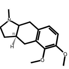 COc1ccc2c(c1OC)C[C@H]1CCN(C)C1C2